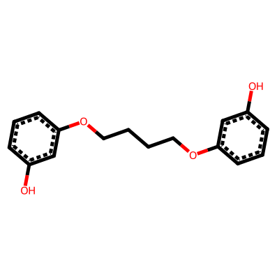 Oc1cccc(OCCCCOc2cccc(O)c2)c1